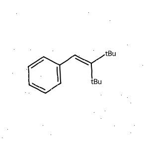 CC(C)(C)C(=Cc1ccccc1)C(C)(C)C